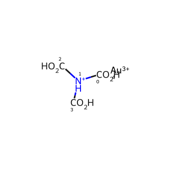 O=C(O)[NH+](C(=O)O)C(=O)O.[Au+3]